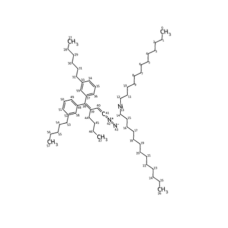 CCCCCCCCCCCC[CH2][Ni][CH2]CCCCCCCCCCCC.CCCCCCc1cccc(C(=C(C=C=[N+]=[N-])CCCC)c2cccc(CCCCC)c2)c1